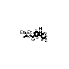 CCN(CC)C(C)SCC(=O)c1ccc2[nH]c3ncc(Cl)cc3c2c1